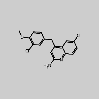 COc1ccc(Cc2cc(N)nc3ccc(Cl)cc23)cc1Cl